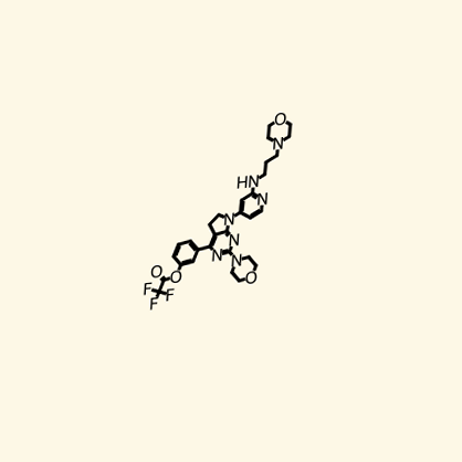 O=C(Oc1cccc(-c2nc(N3CCOCC3)nc3c2CCN3c2ccnc(NCCCN3CCOCC3)c2)c1)C(F)(F)F